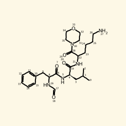 CC(C)C[C@@H](NC(=O)C(Cc1ccccc1)NC=O)C(=O)NC(CCCCN)C(=O)N1CCOCC1